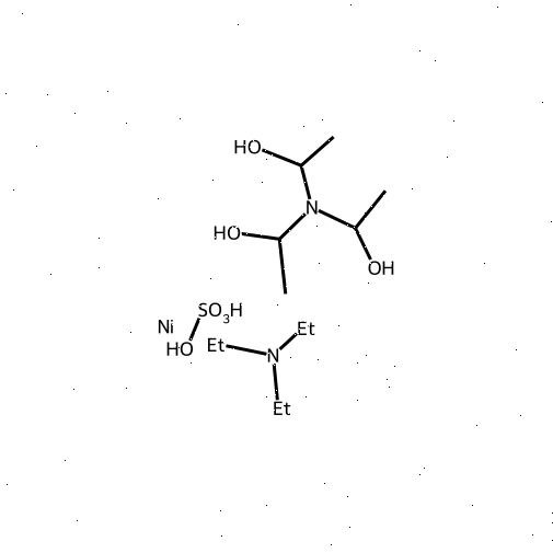 CC(O)N(C(C)O)C(C)O.CCN(CC)CC.O=S(=O)(O)O.[Ni]